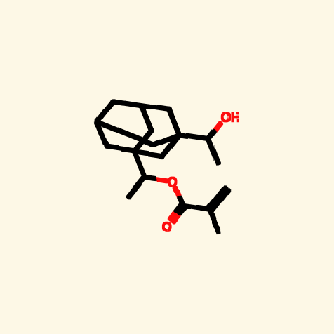 C=C(C)C(=O)OC(C)C12CC3CC(CC(C(C)O)(C3)C1)C2